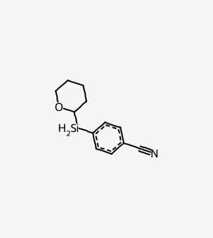 N#Cc1ccc([SiH2]C2CCCCO2)cc1